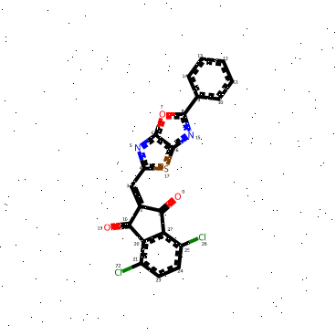 O=C1C(=Cc2nc3oc(-c4ccccc4)nc3s2)C(=O)c2c(Cl)ccc(Cl)c21